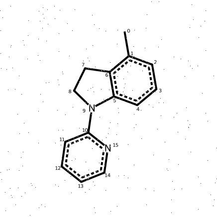 Cc1cccc2c1CCN2c1ccccn1